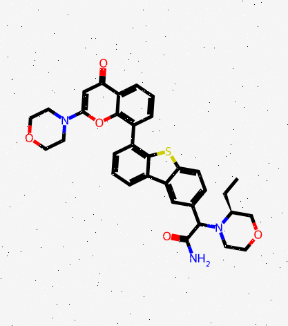 CC[C@H]1COCCN1C(C(N)=O)c1ccc2sc3c(-c4cccc5c(=O)cc(N6CCOCC6)oc45)cccc3c2c1